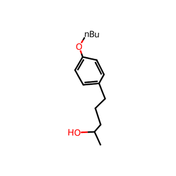 CCCCOc1ccc(CCCC(C)O)cc1